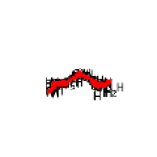 C[C@@H](CCC(=O)NCCCOCCOCCOCCCNS(=O)(=O)c1ccc(-c2ccc(S(=O)(=O)N[C@@H](CNC(=O)c3ccc4c(cnn4CCCNc4ncc[nH]4)c3)C(=O)O)cc2)cc1)C(=O)NCCCOCCOCCOCCCNS(=O)(=O)c1ccc(-c2ccc(S(=O)(=O)N[C@@H](CNC(=O)c3ccc4c(cnn4CCCNc4ncc[nH]4)c3)C(=O)O)cc2)cc1